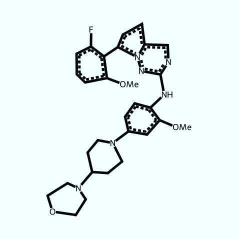 COc1cc(N2CCC(N3CCOCC3)CC2)ccc1Nc1ncc2ccc(-c3c(F)cccc3OC)n2n1